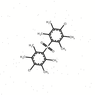 Cc1c(C)c(S(=O)(=O)c2c(C)c(C)c(Cl)c(C)c2C)c(C)c(C)c1Cl